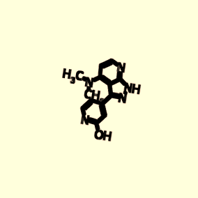 CN(C)c1ccnc2[nH]nc(-c3ccnc(O)c3)c12